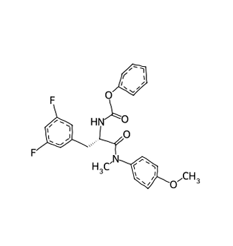 COc1ccc(N(C)C(=O)[C@H](Cc2cc(F)cc(F)c2)NC(=O)Oc2ccccc2)cc1